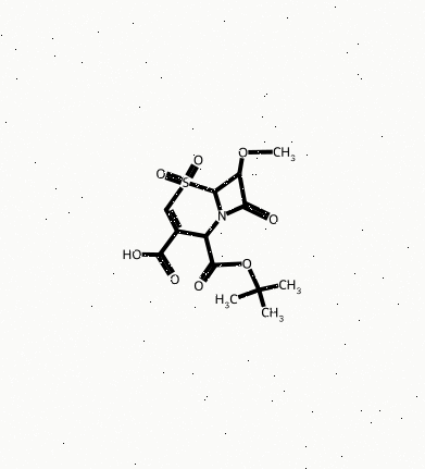 COC1C(=O)N2C(C(=O)OC(C)(C)C)C(C(=O)O)=CS(=O)(=O)C12